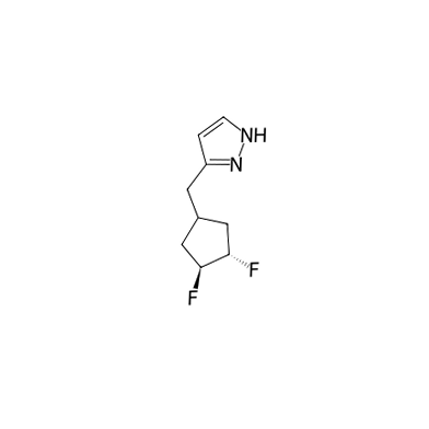 F[C@H]1CC(Cc2cc[nH]n2)C[C@@H]1F